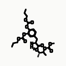 CCCOC(=O)Oc1ccc(C[C@H](N)C(=O)O[C@@H](C)C(C)OC(=O)OC)cc1OC(=O)OCCC